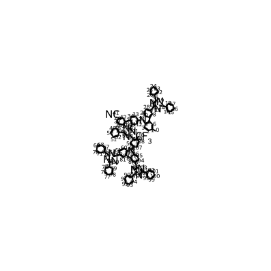 Cc1ccc2c(c1)c1cc(-c3nc(-c4ccccc4)nc(-c4ccccc4)n3)ccc1n2-c1ccc(-c2cccc(C#N)c2)c(-c2nc(-c3ccccc3)nc(-c3cc(-n4c5ccc(-c6nc(-c7ccccc7)nc(-c7ccccc7)n6)cc5c5cc(-c6nc(-c7ccccc7)nc(-c7ccccc7)n6)ccc54)ccc3C(F)(F)F)n2)c1